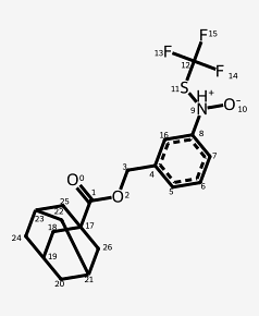 O=C(OCc1cccc([NH+]([O-])SC(F)(F)F)c1)C12CC3CC(CC(C3)C1)C2